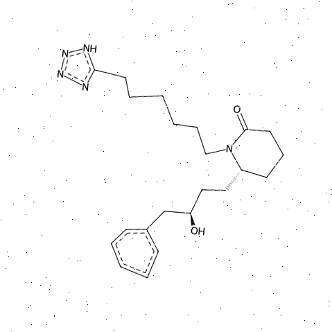 O=C1CCC[C@H](CC[C@@H](O)Cc2ccccc2)N1CCCCCCc1nnn[nH]1